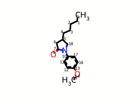 CCCCCC1CC(=O)N(c2ccc(OC)cc2)C1